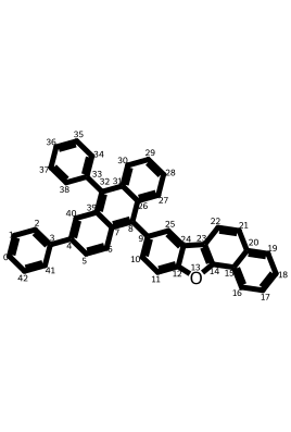 c1ccc(-c2ccc3c(-c4ccc5oc6c7ccccc7ccc6c5c4)c4ccccc4c(-c4ccccc4)c3c2)cc1